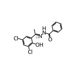 C/C(=N\NC(=O)c1ccccc1)c1cc(Cl)cc(Cl)c1O